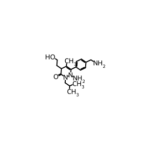 CC1=C(c2ccc(CN)cc2)N(N)N(CC(C)C)C(=O)C1CCO